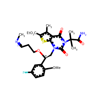 CCOC(=O)c1sc2c(c1C)c(=O)n(C(C)(C)C(N)=O)c(=O)n2C[C@H](OCC/C=N\C)c1cc(F)ccc1OC